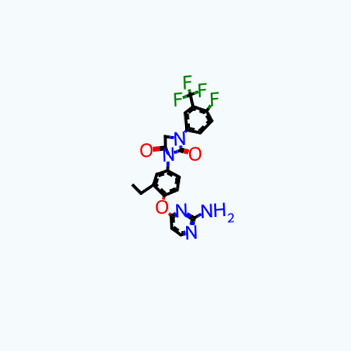 CCc1cc(N2C(=O)CN(c3ccc(F)c(C(F)(F)F)c3)C2=O)ccc1Oc1ccnc(N)n1